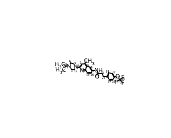 Cc1cc(N2CCN(C(C)C)CC2)nc2ccc(NC(=O)CCc3ccc(OC(F)(F)F)cc3)cc12